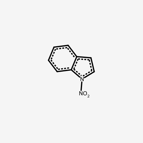 O=[N+]([O-])n1ccc2ccccc21